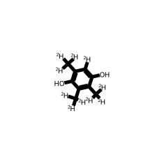 [2H]c1c(O)c(C([2H])([2H])[2H])c(C([2H])([2H])[2H])c(O)c1C([2H])([2H])[2H]